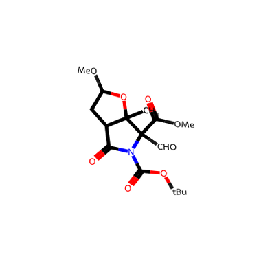 COC(=O)C1(C=O)N(C(=O)OC(C)(C)C)C(=O)C2CC(OC)OC21C